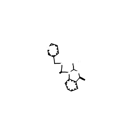 O=C1NC(C(=O)O)N(C(=O)NCc2cccnc2)c2ccccc21